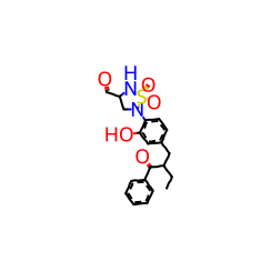 CCC(Cc1ccc(N2CC(C=O)NS2(=O)=O)c(O)c1)C(=O)c1ccccc1